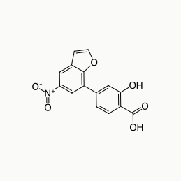 O=C(O)c1ccc(-c2cc([N+](=O)[O-])cc3ccoc23)cc1O